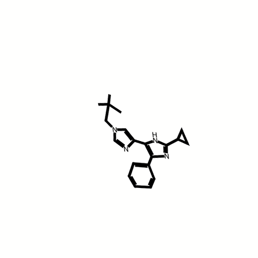 CC(C)(C)Cn1cnc(-c2[nH]c(C3CC3)nc2-c2ccccc2)c1